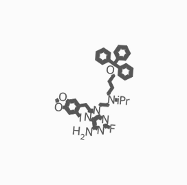 CC(C)N(CCCCOC(c1ccccc1)(c1ccccc1)c1ccccc1)CCn1c(Cc2cc3c(cc2I)OCO3)nc2c(N)nc(F)nc21